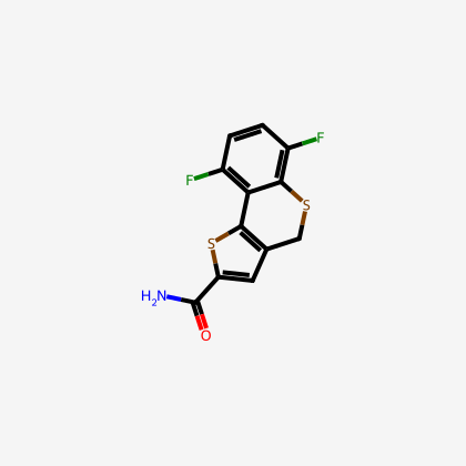 NC(=O)c1cc2c(s1)-c1c(F)ccc(F)c1SC2